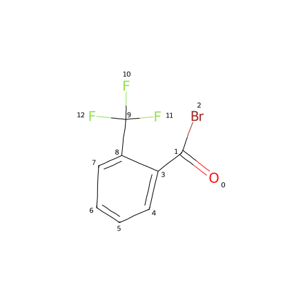 O=C(Br)c1ccccc1C(F)(F)F